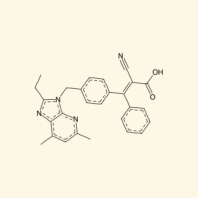 CCc1nc2c(C)cc(C)nc2n1Cc1ccc(/C(=C(\C#N)C(=O)O)c2ccccc2)cc1